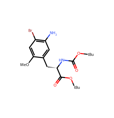 COc1cc(Br)c(N)cc1C[C@H](NC(=O)OC(C)(C)C)C(=O)OC(C)(C)C